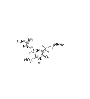 CC(=O)NCSC(C)(C)[C@H](N)C(=O)N(C)[C@@H](CCCNC(=N)N)C(=O)O